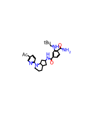 CC(=O)c1ccc(N2CCCC3CC(NC(=O)c4ccc(C(N)=O)c(NCC(C)(C)C)c4)CC32)nc1